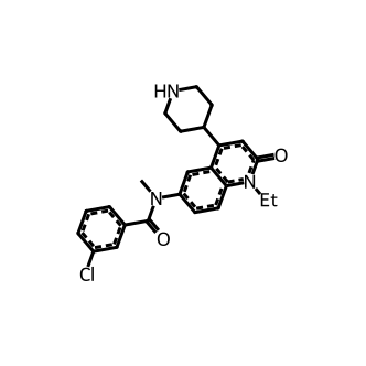 CCn1c(=O)cc(C2CCNCC2)c2cc(N(C)C(=O)c3cccc(Cl)c3)ccc21